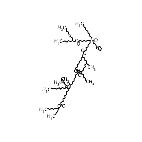 CCCCCCCCCCN(C(=O)CCCN1CCCC1)C(CCCCCC(=O)OCC(CCCCCC)CCCCCCCC)CCCCCC(=O)OCC(CCCCCCCC)CCCC(CC)CCCCC(CCCCCC)COC(=O)CCCCCCCCC(CCCCCCCCC(=O)OCC(CCCC)CCCCCC)N(CCCCCCCCC)C(=O)CCN(C)C